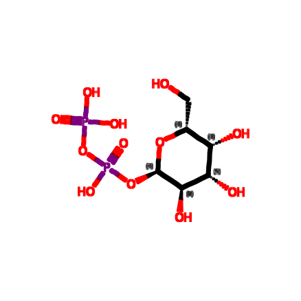 O=P(O)(O)OP(=O)(O)O[C@H]1O[C@H](CO)[C@H](O)[C@H](O)[C@H]1O